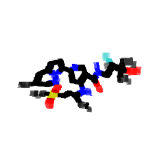 CC(CCS(C)(=O)=O)Nc1cc(-c2ccc3cc(C#N)cnn23)ncc1C(=O)NC[C@@H](F)C(C)(C)O